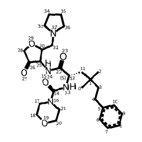 CC(C)(CCc1ccccc1)C[C@H](NC(=O)N1CCOCC1)C(=O)NC1C(=O)COC1CN1CCCC1